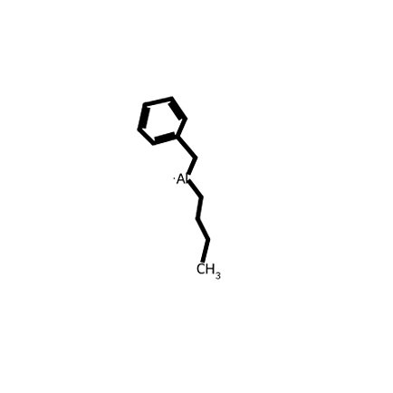 CCC[CH2][Al][CH2]c1ccccc1